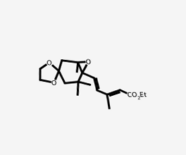 CCOC(=O)C=C(C)C=CC12OC1(C)CC1(CC2(C)C)OCCO1